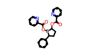 O=C(OB1C(OC(=O)c2ccccn2)CCC1c1ccccc1)c1ccccn1